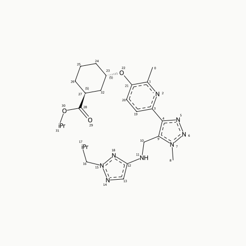 Cc1nc(-c2nnn(C)c2CNc2cnn(CC(C)C)n2)ccc1O[C@H]1CCC[C@H](C(=O)OC(C)C)C1